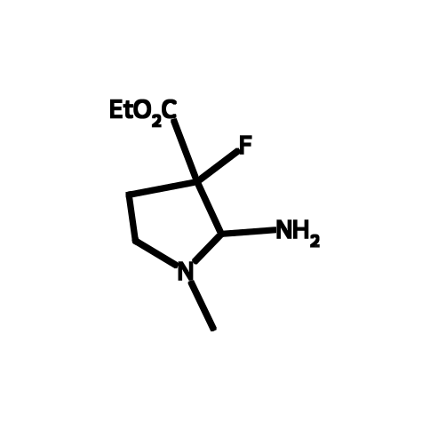 CCOC(=O)C1(F)CCN(C)C1N